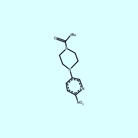 CC(C)(C)C(=O)N1CCN(c2ccc([N+](=O)[O-])nc2)CC1